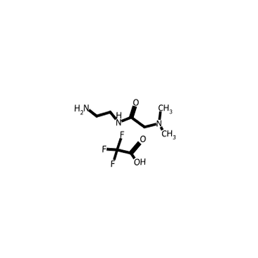 CN(C)CC(=O)NCCN.O=C(O)C(F)(F)F